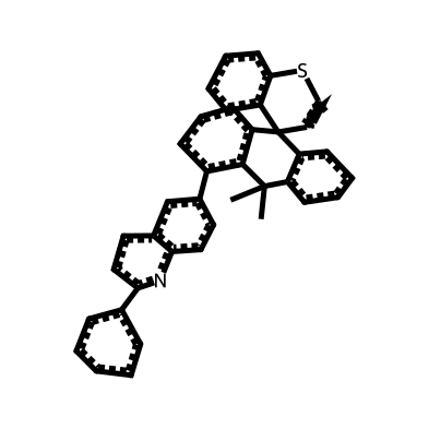 CC1(C)c2ccccc2C2(c3ccccc3Sc3ccccc32)c2cccc(-c3ccc4nc(-c5ccccc5)ccc4c3)c21